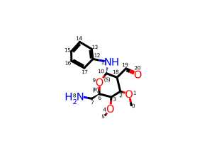 COC1C(OC)[C@@H](CN)O[C@H](Nc2ccccc2)C1C=O